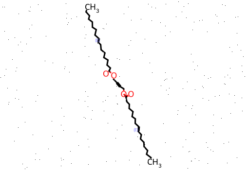 CCCCCCCC/C=C/CCCCCCCC(=O)OCC#CCOC(=O)CCCCCCC/C=C/CCCCCCCC